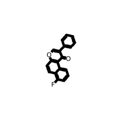 O=c1c(-c2ccccc2)coc2ccc3c(F)cccc3c12